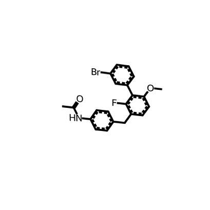 COc1ccc(Cc2ccc(NC(C)=O)cc2)c(F)c1-c1cccc(Br)c1